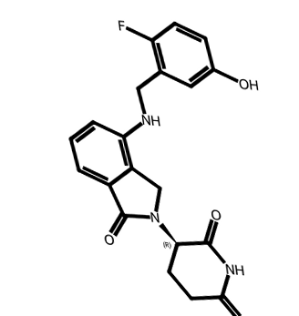 O=C1CC[C@@H](N2Cc3c(NCc4cc(O)ccc4F)cccc3C2=O)C(=O)N1